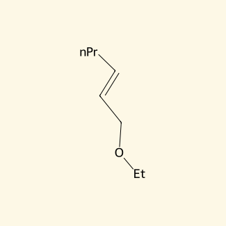 [CH2]COCC=CCCC